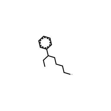 [CH2]CCCCC(CC)c1ccccc1